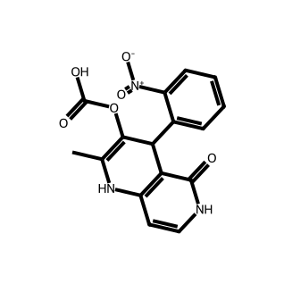 CC1=C(OC(=O)O)C(c2ccccc2[N+](=O)[O-])c2c(cc[nH]c2=O)N1